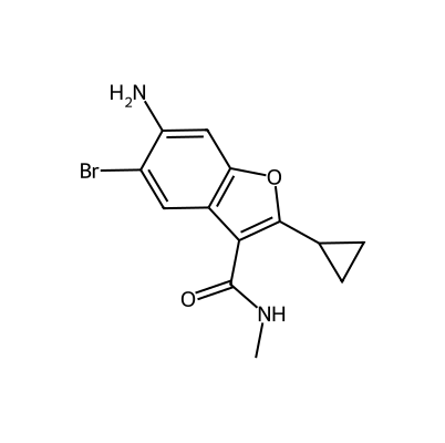 CNC(=O)c1c(C2CC2)oc2cc(N)c(Br)cc12